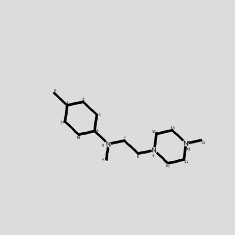 CC1CCC(N(C)CCN2CCN(C)CC2)CC1